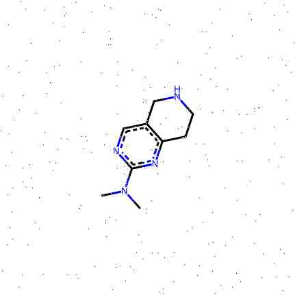 CN(C)c1ncc2c(n1)CCNC2